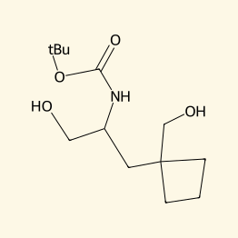 CC(C)(C)OC(=O)NC(CO)CC1(CO)CCC1